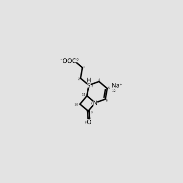 O=C([O-])CC[SH]1CC=CN2C(=O)CC21.[Na+]